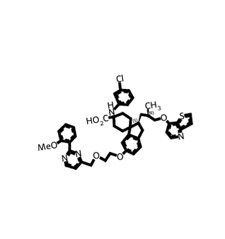 COc1ccccc1-c1nccc(COCCOc2ccc3c(c2)C2(CCC(Nc4cccc(Cl)c4)(C(=O)O)CC2)[C@@H](C[C@@H](C)COc2ccnc4ccsc24)C3)n1